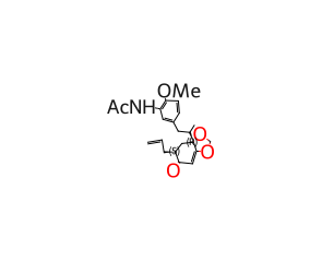 C=CC[C@H]1C[C@]2(C(C)Cc3ccc(OC)c(NC(C)=O)c3)OCOC2=CC1=O